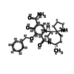 C[C@H]1CC[C@]2(CCCN2)[C@H]2CN1C(=O)c1c(OCc3ccccc3)c(=O)c(C(N)=O)cn12